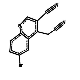 N#CCc1c(C#N)cnc2ccc(Br)cc12